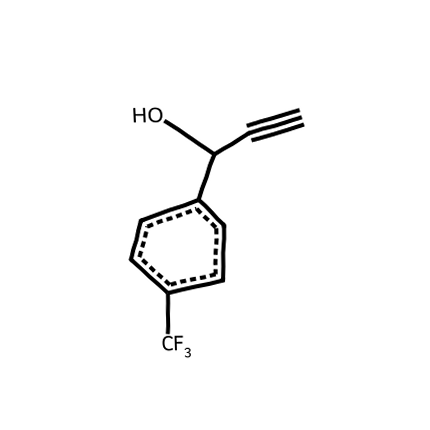 C#CC(O)c1ccc(C(F)(F)F)cc1